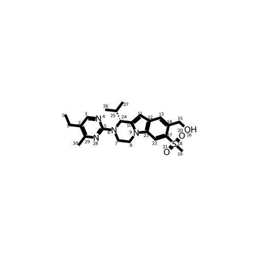 CCc1cnc(N2CCn3c(cc4cc(CO)c(S(C)(=O)=O)cc43)[C@H]2C(C)C)nc1C